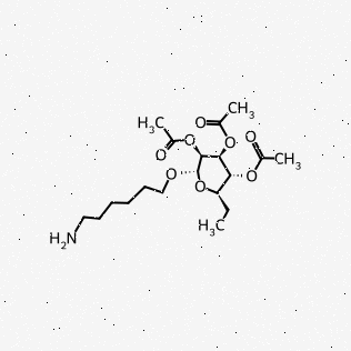 CC[C@H]1O[C@H](OCCCCCCN)[C@@H](OC(C)=O)[C@@H](OC(C)=O)[C@@H]1OC(C)=O